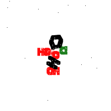 CC(C)(O)C(C)(C)OB(O)c1ccccc1Cl